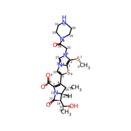 CSc1c2sc(C3=C(C(=O)[O-])N4C(=O)[C@H]([C@@H](C)O)[C@H]4[C@H]3C)c[n+]2cn1CC(=O)N1CCNCC1